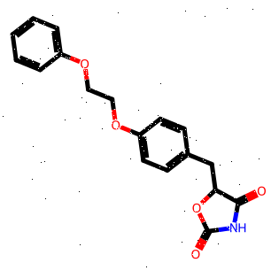 O=C1NC(=O)C(Cc2ccc(OCCOc3ccccc3)cc2)O1